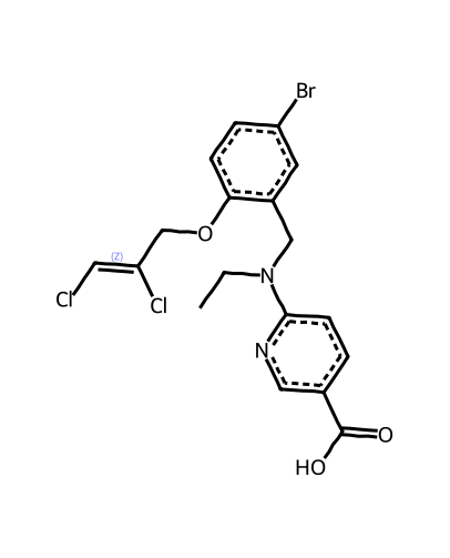 CCN(Cc1cc(Br)ccc1OC/C(Cl)=C/Cl)c1ccc(C(=O)O)cn1